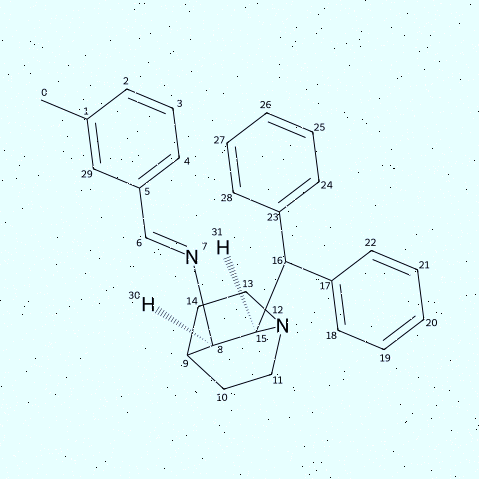 Cc1cccc(C=N[C@@H]2C3CCN(CC3)[C@@H]2C(c2ccccc2)c2ccccc2)c1